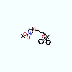 C[C@H](CCCCOC1(C)CCN(C(=O)OC(C)(C)C)CC1)O[Si](c1ccccc1)(c1ccccc1)C(C)(C)C